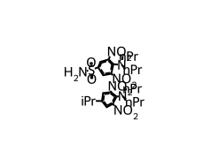 CCCN(CCC)c1c([N+](=O)[O-])cc(C(C)C)cc1[N+](=O)[O-].CCCN(CCC)c1c([N+](=O)[O-])cc(S(N)(=O)=O)cc1[N+](=O)[O-]